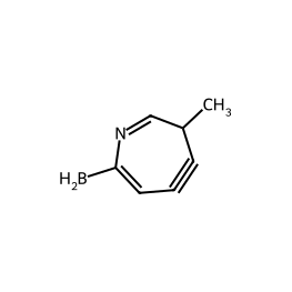 BC1=CC#CC(C)C=N1